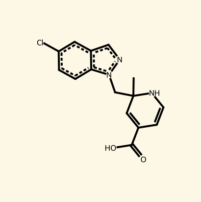 CC1(Cn2ncc3cc(Cl)ccc32)C=C(C(=O)O)C=CN1